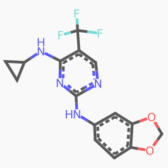 FC(F)(F)c1cnc(Nc2ccc3c(c2)OCO3)nc1NC1CC1